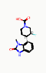 Cn1c(=O)[nH]c2cccc([C@@H]3CCN(C(=O)O)C[C@H]3F)c21